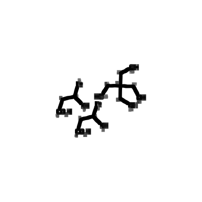 CCC(S)CC(=O)O.CCC(S)CC(=O)O.OCC(CO)(CO)CO